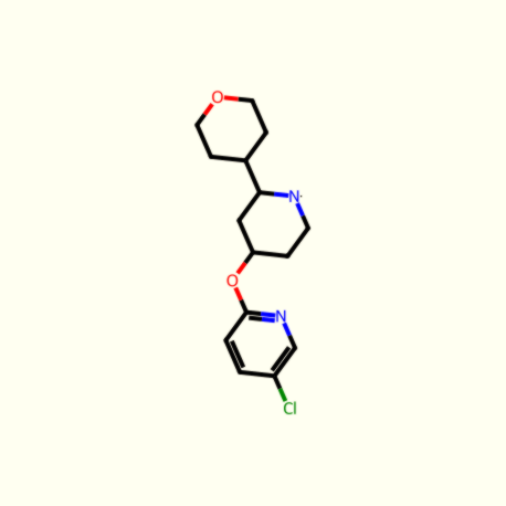 Clc1ccc(OC2CC[N]C(C3CCOCC3)C2)nc1